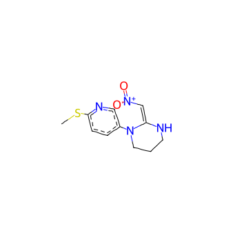 CSc1ccc(N2CCCN/C2=C/[N+](=O)[O-])cn1